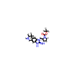 CC(N(C)Cc1ccc2c(c1)[nH]c(=N)n2CC1CCCN1C(=O)OC(C)(C)C)C(C)(C)C